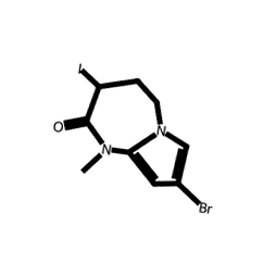 CN1C(=O)C(I)CCn2cc(Br)cc21